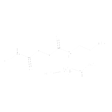 CC(=O)O.CCCCCCCCCCCCNC(=O)CCC(=O)NCCC.CCCCNCCCC